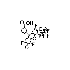 Cc1ccc(C(=O)O)cc1-c1c2cc(F)c(=O)c(F)c-2oc2c(F)c(OS(=O)(=O)C(F)(F)F)c(F)cc12